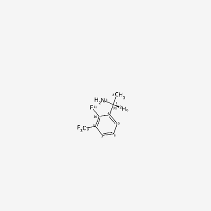 [2H][C@](C)(N)c1cccc(C(F)(F)F)c1F